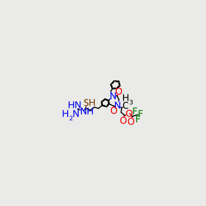 CC(CC(=O)OC(=O)C(F)(F)F)N1CC(=O)N(Cc2ccccc2)c2ccc(CCCC(S)NC(=N)N)cc2C1=O